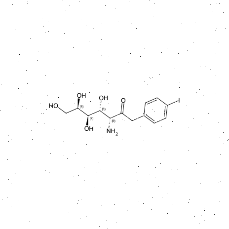 N[C@@H](C(=O)Cc1ccc(I)cc1)[C@@H](O)[C@@H](O)[C@H](O)CO